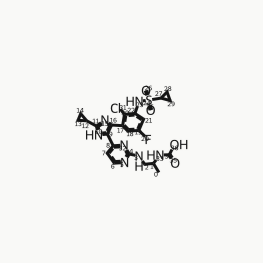 CC(CNc1nccc(-c2[nH]c(C3CC3)nc2-c2cc(F)cc(NS(=O)(=O)C3CC3)c2Cl)n1)NC(=O)O